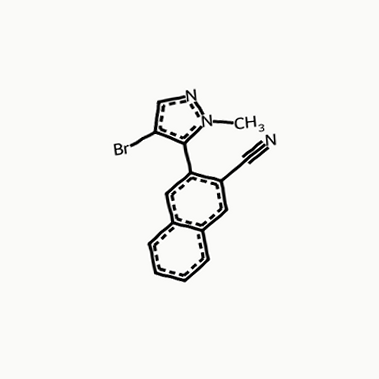 Cn1ncc(Br)c1-c1cc2ccccc2cc1C#N